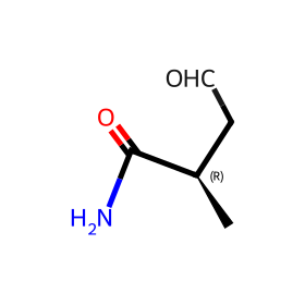 C[C@H](CC=O)C(N)=O